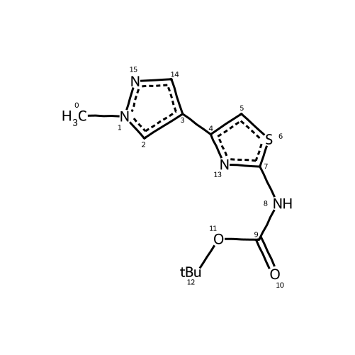 Cn1cc(-c2csc(NC(=O)OC(C)(C)C)n2)cn1